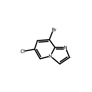 Clc1cc(Br)c2n[c]cn2c1